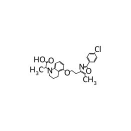 Cc1oc(-c2ccc(Cl)cc2)nc1CCOc1cccc2c1CCCN2C(C)C(=O)O